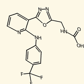 O=C(O)NCc1nnc(-c2cccnc2Nc2ccc(C(F)(F)F)cc2)o1